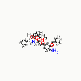 CC(C)(C)OC(=O)N(CCc1ccccc1)C[C@H](O)COc1ccc(N)c(OCc2ccccc2)c1